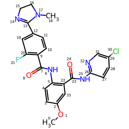 COc1ccc(NC(=O)c2ccc(C3=NCCN3C)cc2F)c(C(=O)Nc2ccc(Cl)cn2)c1